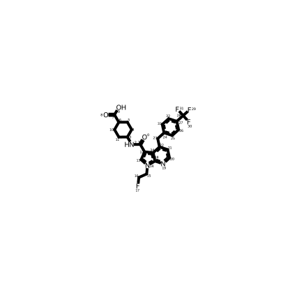 O=C(NC1CCC(C(=O)O)CC1)c1cn(CCF)c2nccc(Cc3ccc(C(F)(F)F)cc3)c12